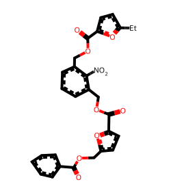 CCc1ccc(C(=O)OCc2cccc(COC(=O)c3ccc(COC(=O)c4ccccc4)o3)c2[N+](=O)[O-])o1